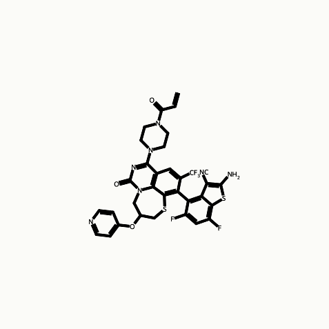 C=CC(=O)N1CCN(c2nc(=O)n3c4c(c(-c5c(F)cc(F)c6sc(N)c(C#N)c56)c(C(F)(F)F)cc24)SCC(Oc2ccncc2)C3)CC1